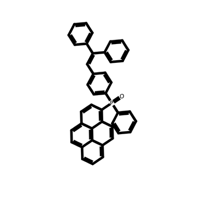 O=P(c1ccccc1)(c1ccc(C=C(c2ccccc2)c2ccccc2)cc1)c1ccc2ccc3cccc4ccc1c2c34